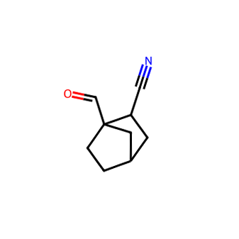 N#CC1CC2CCC1(C=O)C2